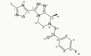 Cc1nsc(-c2nnc3n2CCN(SC(=O)c2ccc(F)cc2)[C@@H]3C)n1